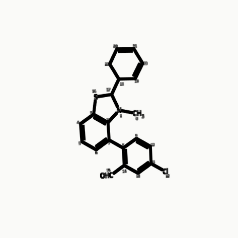 CN1c2c(cccc2-c2ccc(Cl)cc2C=O)SC1C1C=CC=CC1